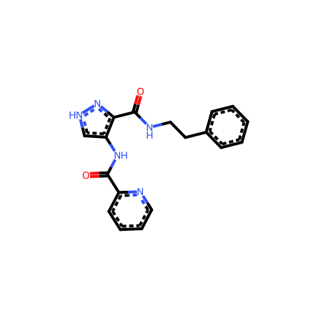 O=C(Nc1c[nH]nc1C(=O)NCCc1ccccc1)c1ccccn1